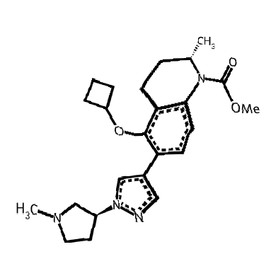 COC(=O)N1c2ccc(-c3cnn([C@H]4CCN(C)C4)c3)c(OC3CCC3)c2CC[C@@H]1C